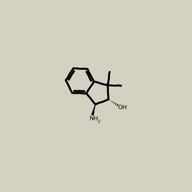 CC1(C)c2ccccc2[C@H](N)[C@H]1O